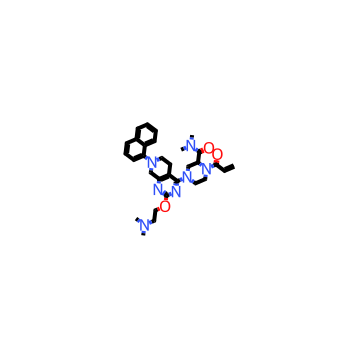 C=CC(=O)N1CCN(c2nc(OCCN(C)C)nc3c2CCN(c2cccc4ccccc24)C3)CC1C(=O)N(C)C